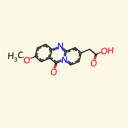 COc1ccc2nc3cc(CC(=O)O)ccn3c(=O)c2c1